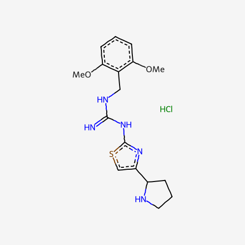 COc1cccc(OC)c1CNC(=N)Nc1nc(C2CCCN2)cs1.Cl